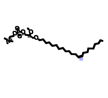 CCCCCCCC/C=C\CCCCCCCCCCCCOC[C@@H](COP(=O)([O-])OCC[N+](C)(C)C)OC